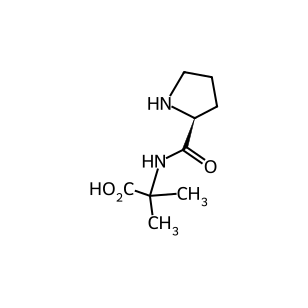 CC(C)(NC(=O)[C@@H]1CCCN1)C(=O)O